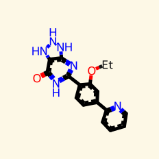 CCOc1cc(-c2ccccn2)ccc1-c1nc2c(c(=O)[nH]1)NNN2